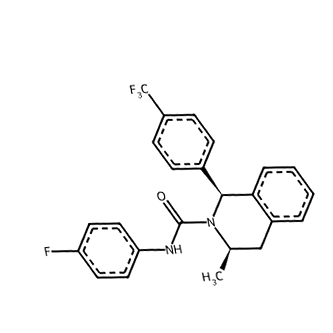 C[C@@H]1Cc2ccccc2[C@H](c2ccc(C(F)(F)F)cc2)N1C(=O)Nc1ccc(F)cc1